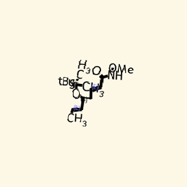 C/C=C/[C@H](C/C=C/C(=O)NOC)O[Si](C)(C)C(C)(C)C